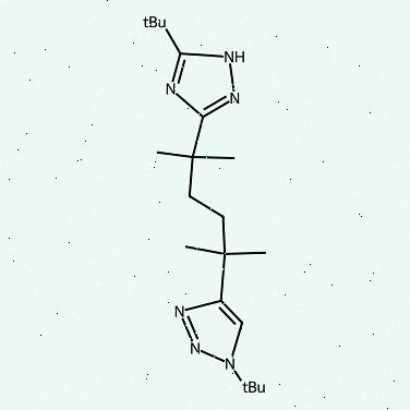 CC(C)(C)c1nc(C(C)(C)CCC(C)(C)c2cn(C(C)(C)C)nn2)n[nH]1